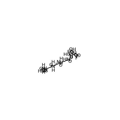 NC(CCCCNC(=O)CCCC[C@@H]1SC[C@@H]2NC(=O)N[C@@H]21)C(=O)NCCCCCNC(=O)c1ccc(-c2c3cc(F)c(=O)cc-3oc3cc(O)c(F)cc23)c(C(=O)O)c1